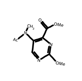 COC(=O)c1nc(OC)ncc1N(C)C(C)=O